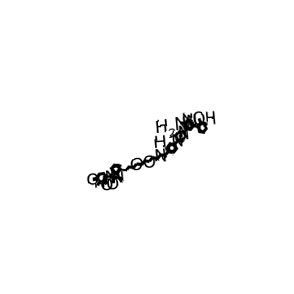 CN1C(=O)CCC(n2c(=O)n(C)c3c(CCCOCCOCCNCc4ccc(N5CCN(c6cc(-c7ccccc7O)nnc6N)CC5)cc4)cccc32)C1=O